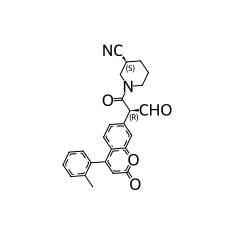 Cc1ccccc1-c1cc(=O)oc2cc([C@H](C=O)C(=O)N3CCC[C@H](C#N)C3)ccc12